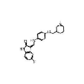 CN1CCCC(COc2ccc(NC=C3C(=O)Nc4ccc(F)cc43)cc2)C1